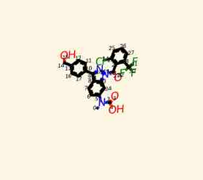 CN(C(=O)O)c1ccc2c(-c3ccc(CO)cc3)nn(C(=O)c3c(Cl)cccc3C(F)(F)F)c2c1